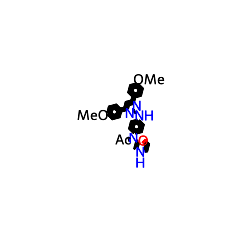 COc1ccc(-c2cc(-c3ccc(OC)cc3)nc(Nc3ccc(N(C(C)=O)C4CNCCO4)cc3)n2)cc1